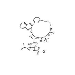 CC(C)(C)[C@@H]1NC(=O)OCC/C=C/c2cccc(c2)-c2nc3ccccc3nc2O[C@@H]2C[C@@H](C(=O)N[C@]3(C(=O)NS(=O)(=O)C4CC4)C[C@H]3C(F)F)N(C2)C1=O